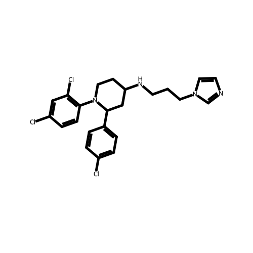 Clc1ccc(C2CC(NCCCn3ccnc3)CCN2c2ccc(Cl)cc2Cl)cc1